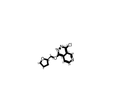 Clc1nnc(OC[C@H]2CCCO2)c2ccncc12